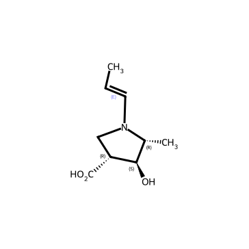 C/C=C/N1C[C@@H](C(=O)O)[C@H](O)[C@H]1C